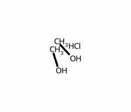 CO.CO.Cl